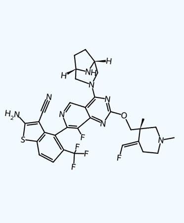 CN1CC/C(=C\F)[C@](C)(COc2nc(N3C[C@H]4CC[C@@H](C3)N4)c3cnc(-c4c(C(F)(F)F)ccc5sc(N)c(C#N)c45)c(F)c3n2)C1